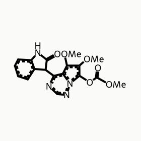 COC(=O)Oc1c(OC)c(OC)c2c(C3C(=O)Nc4ccccc43)ncnn12